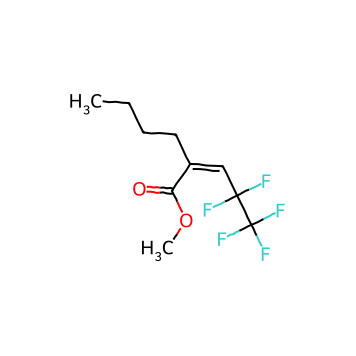 CCCCC(=CC(F)(F)C(F)(F)F)C(=O)OC